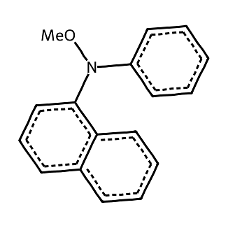 CON(c1ccccc1)c1cccc2ccccc12